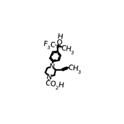 CC#CC1CN(C(=O)O)CCN1c1ccc([C@](C)(O)C(F)(F)F)cc1